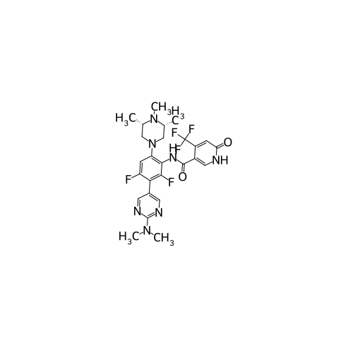 C[C@@H]1CN(c2cc(F)c(-c3cnc(N(C)C)nc3)c(F)c2NC(=O)c2c[nH]c(=O)cc2C(F)(F)F)C[C@H](C)N1C